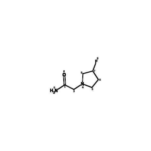 NC(=O)CN1CCC(F)C1